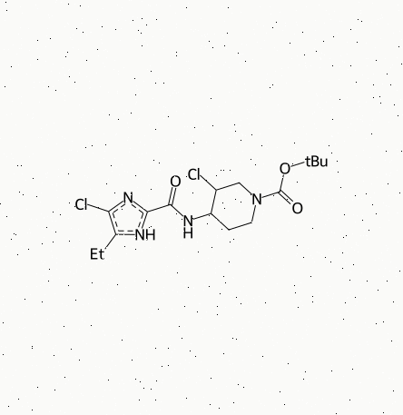 CCc1[nH]c(C(=O)NC2CCN(C(=O)OC(C)(C)C)CC2Cl)nc1Cl